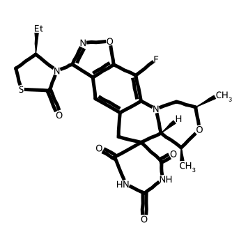 CC[C@@H]1CSC(=O)N1c1noc2c(F)c3c(cc12)CC1(C(=O)NC(=O)NC1=O)[C@H]1[C@H](C)O[C@H](C)CN31